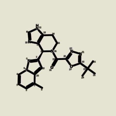 Cc1cccn2nc([C@H]3c4nc[nH]c4CCN3C(=O)c3nnc(C(C)(C)C)o3)cc12